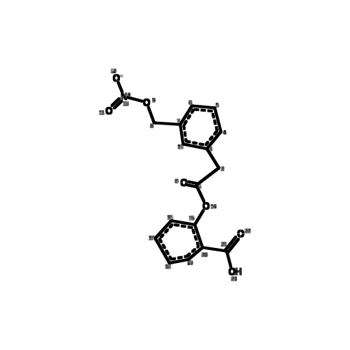 O=C(Cc1cccc(CO[N+](=O)[O-])c1)Oc1ccccc1C(=O)O